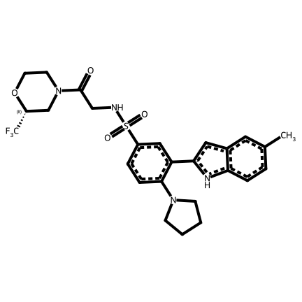 Cc1ccc2[nH]c(-c3cc(S(=O)(=O)NCC(=O)N4CCO[C@@H](C(F)(F)F)C4)ccc3N3CCCC3)cc2c1